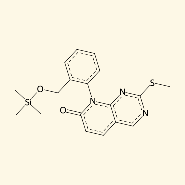 CSc1ncc2ccc(=O)n(-c3ccccc3CO[Si](C)(C)C)c2n1